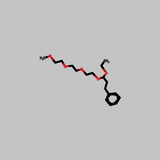 CCOC(CCc1cc[c]cc1)OCCOCCOCCOC